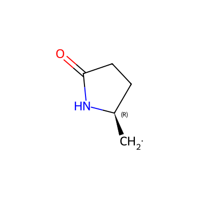 [CH2][C@@H]1CCC(=O)N1